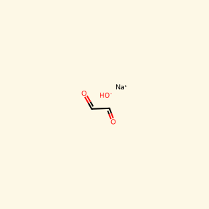 O=CC=O.[Na+].[OH-]